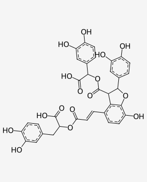 O=C(/C=C/c1ccc(O)c2c1C(C(=O)OC(C(=O)O)c1ccc(O)c(O)c1)C(c1ccc(O)c(O)c1)O2)OC(Cc1ccc(O)c(O)c1)C(=O)O